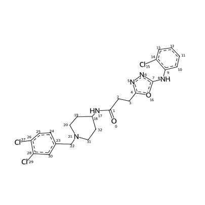 O=C(CCc1nnc(Nc2ccccc2Cl)o1)NC1CCN(Cc2ccc(Cl)c(Cl)c2)CC1